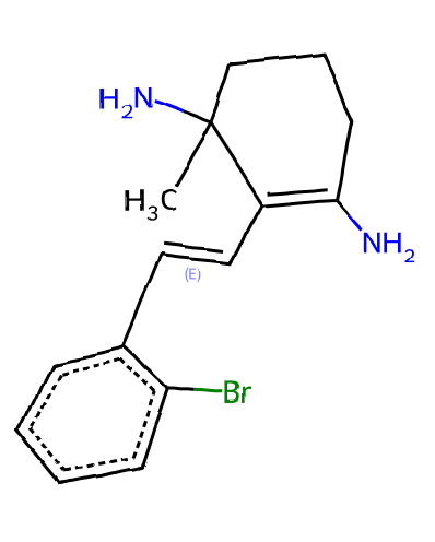 CC1(N)CCCC(N)=C1/C=C/c1ccccc1Br